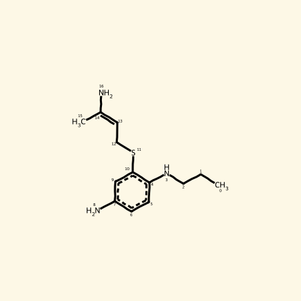 CCCNc1ccc(N)cc1SC/C=C(\C)N